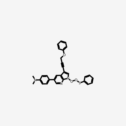 CN(C)c1ccc(-c2cnc3c(c2)c(C#CCOc2ccccc2)cn3OOSc2ccccc2)cc1